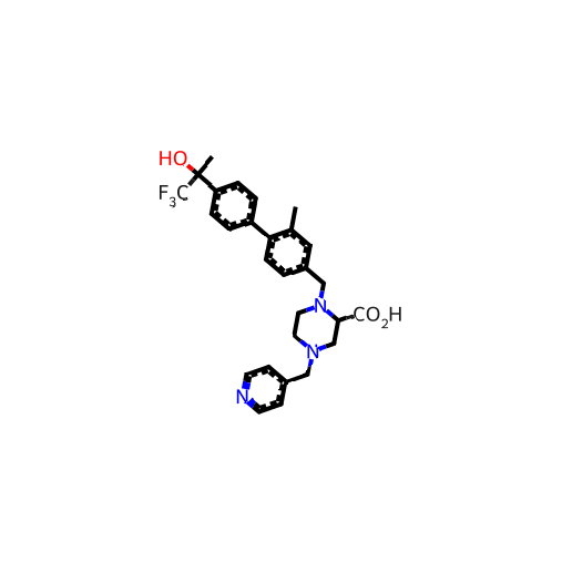 Cc1cc(CN2CCN(Cc3ccncc3)CC2C(=O)O)ccc1-c1ccc(C(C)(O)C(F)(F)F)cc1